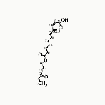 C=CC(=O)OCCOC(=O)CCCCCOC(=O)/C=C\C(=O)O